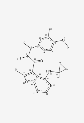 COc1ccc(C(C)N(I)C(=O)c2c(C)oc3ncnc(NC4(C)CC4)c23)cc1C